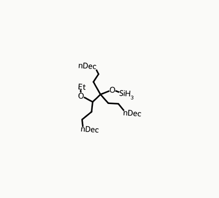 CCCCCCCCCCCCC(OCC)C(CCCCCCCCCCCC)(CCCCCCCCCCCC)O[SiH3]